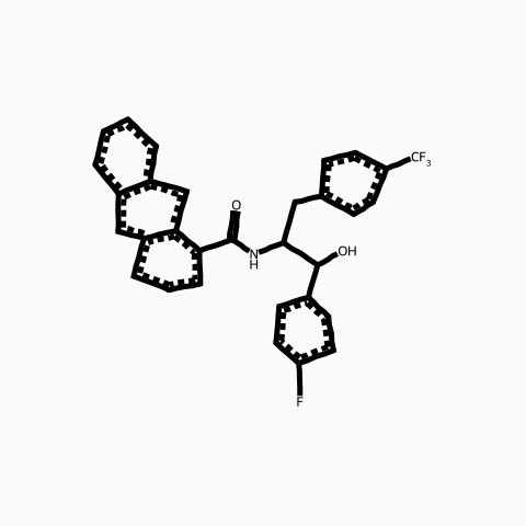 O=C(NC(Cc1ccc(C(F)(F)F)cc1)C(O)c1ccc(F)cc1)c1cccc2cc3ccccc3cc12